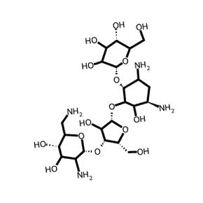 NCC1O[C@H](O[C@@H]2C(O)[C@H](OC3C(O)[C@H](N)CC(N)[C@H]3O[C@H]3OC(CO)[C@@H](O)C(O)C3O)O[C@@H]2CO)C(N)C(O)[C@@H]1O